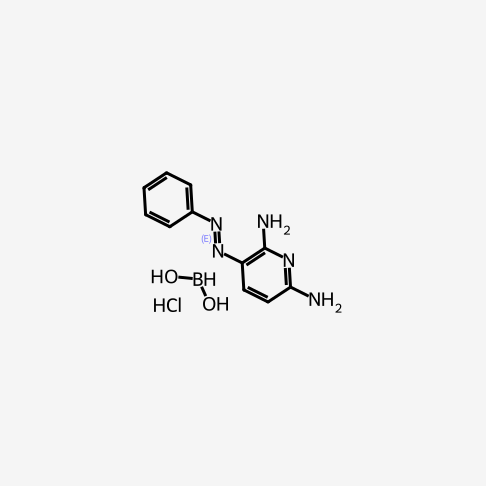 Cl.Nc1ccc(/N=N/c2ccccc2)c(N)n1.OBO